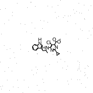 COC(=O)c1nc(C2CC2)nc(NC(C)Cc2c[nH]c3ccccc23)c1Cl